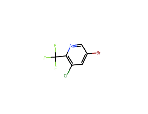 FC(F)(F)c1ncc(Br)cc1Cl